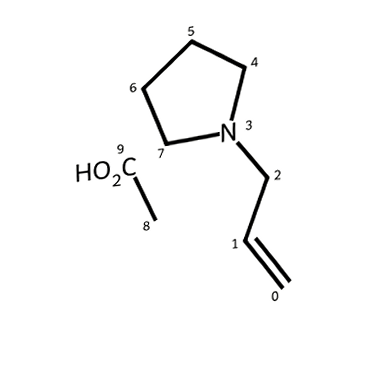 C=CCN1CCCC1.CC(=O)O